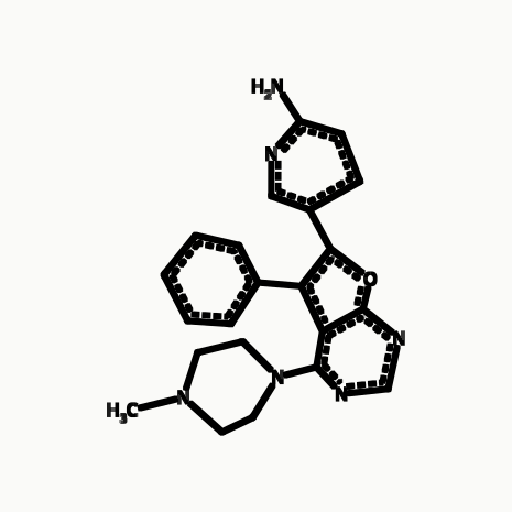 CN1CCN(c2ncnc3oc(-c4ccc(N)nc4)c(-c4ccccc4)c23)CC1